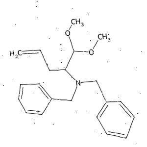 C=CCC(C(OC)OC)N(Cc1ccccc1)Cc1ccccc1